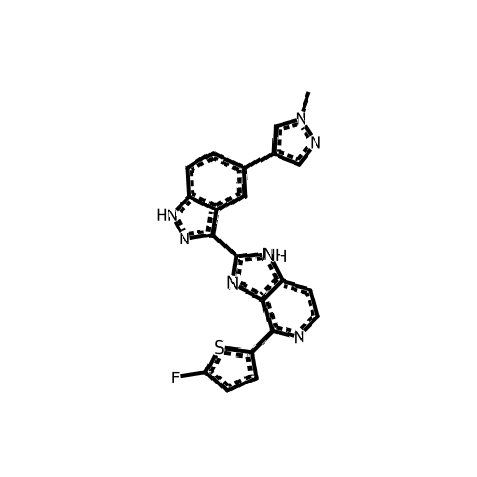 Cn1cc(-c2ccc3[nH]nc(-c4nc5c(-c6ccc(F)s6)nccc5[nH]4)c3c2)cn1